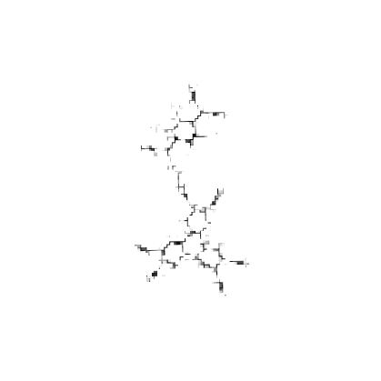 N#CC(C#N)=c1c(F)c(F)c(=C(C#N)C#[N+][N+]#Cc2cc3c4cc(C#N)c(C#N)nc4c4nc(C#N)c(C#N)cc4c3nc2C#N)c(F)c1F